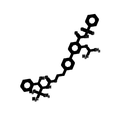 CC(C)Oc1cc(-c2ccc(CCOC(=O)NC([C@H](O)c3ccccc3)C(C)(C)C)cc2)ccc1C(=O)NS(=O)(=O)c1ccccc1